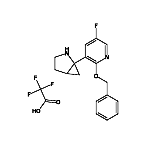 Fc1cnc(OCc2ccccc2)c(C23CC2CCN3)c1.O=C(O)C(F)(F)F